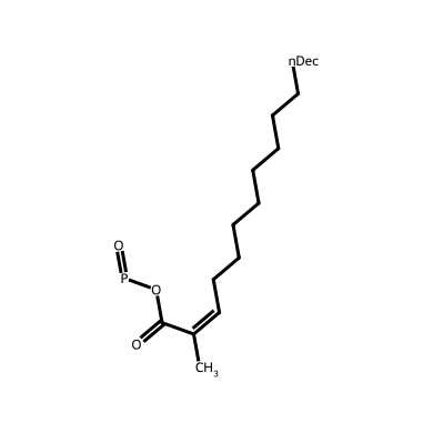 CCCCCCCCCCCCCCCCCCC=C(C)C(=O)OP=O